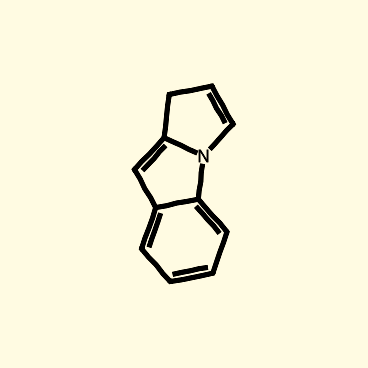 C1=Cn2c(cc3ccccc32)C1